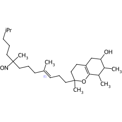 C/C(=C\CCC1(C)CCC2=C(O1)C(C)C(C)C(O)C2)CCCC(C)(CCCC(C)C)N=O